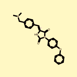 CN(C)Cc1ccc(/C=C2\NC(=O)N(c3ccc(Oc4ccccc4)cc3)C2=O)cc1